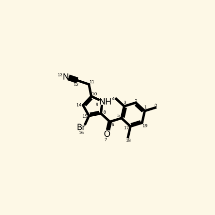 Cc1cc(C)c(C(=O)c2[nH]c(CC#N)cc2Br)c(C)c1